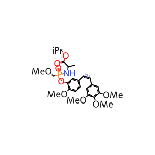 COCP(=O)(NC(C)C(=O)OC(C)C)Oc1cc(/C=C\c2cc(OC)c(OC)c(OC)c2)ccc1OC